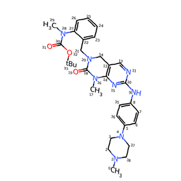 CN1CCN(c2ccc(Nc3ncc4c(n3)N(C)C(=O)N(Cc3ccccc3N(C)C(=O)OC(C)(C)C)C4)cc2)CC1